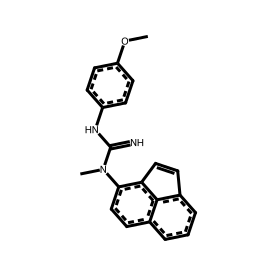 COc1ccc(NC(=N)N(C)c2ccc3cccc4c3c2C=C4)cc1